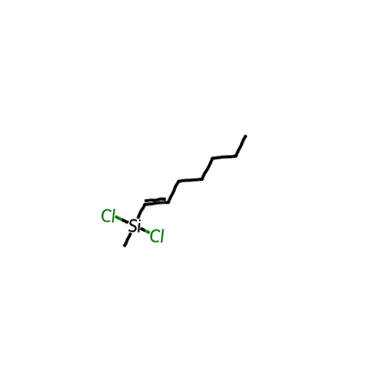 CCCCCC=C[Si](C)(Cl)Cl